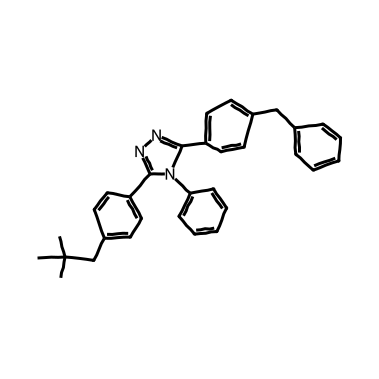 CC(C)(C)Cc1ccc(-c2nnc(-c3ccc(Cc4ccccc4)cc3)n2-c2ccccc2)cc1